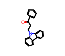 O=C(CCn1c2ccccc2c2ccccc21)c1ccccc1